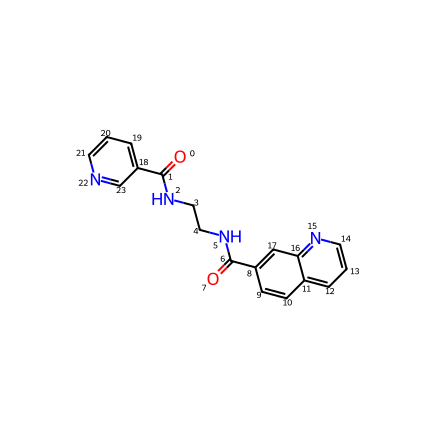 O=C(NCCNC(=O)c1ccc2cccnc2c1)c1cccnc1